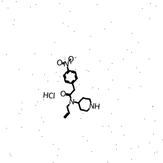 C=CCN(C(=O)Cc1ccc([N+](=O)[O-])cc1)C1CCNCC1.Cl